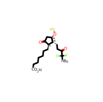 CCCCC(F)(F)C(=O)CC[C@H]1[C@H](OS)CC(=O)[C@@H]1CCCCCCC(=O)O